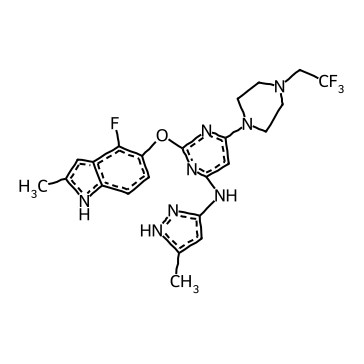 Cc1cc(Nc2cc(N3CCN(CC(F)(F)F)CC3)nc(Oc3ccc4[nH]c(C)cc4c3F)n2)n[nH]1